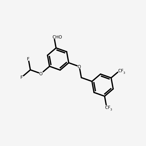 O=Cc1cc(OCc2cc(C(F)(F)F)cc(C(F)(F)F)c2)cc(OC(F)F)c1